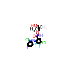 CC(C)(CO)CONC(=O)c1cc(Cl)c(F)c(F)c1Nc1ccc(I)cc1Cl